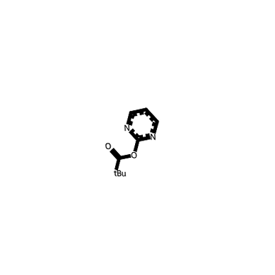 CC(C)(C)C(=O)Oc1ncccn1